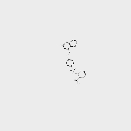 Cc1cc(COc2ccc(S(=O)(=O)NC3CC=CCC3C(=O)NO)cc2)c2ccccc2n1